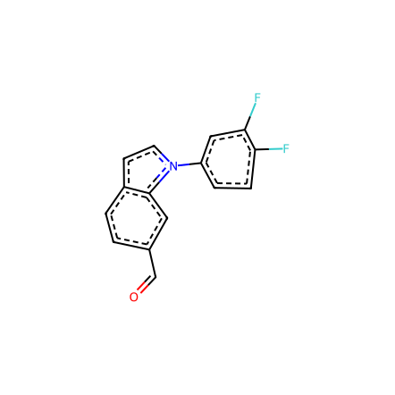 O=Cc1ccc2ccn(-c3ccc(F)c(F)c3)c2c1